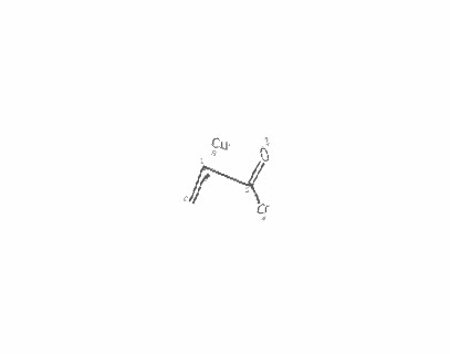 C=C[C](=O)[Cr].[Cu]